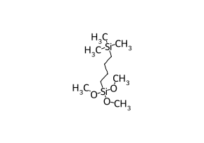 CO[Si](CCCC[Si](C)(C)C)(OC)OC